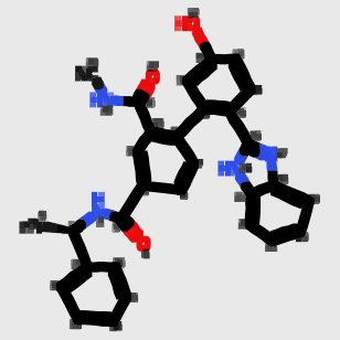 CCC[C@@H](NC(=O)c1ccc(-c2cc(O)ccc2-c2nc3ccccc3[nH]2)c(C(=O)NC#N)c1)c1ccccc1